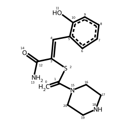 C=C(S/C(=C\c1ccccc1O)C(N)=O)N1CCNCC1